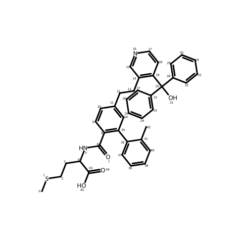 CSCCC(NC(=O)c1ccc(CCc2cnccc2C(O)(c2ccccc2)c2ccccc2)cc1-c1ccccc1C)C(=O)O